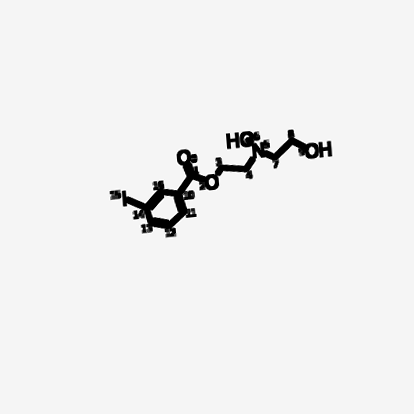 O=C(OCCN(O)CCO)c1cccc(I)c1